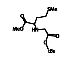 COC(=O)C(CCSC)NCC(=O)OC(C)(C)C